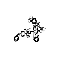 CC(C)CN(C[C@@H](O)[C@H](Cc1ccccc1)NC(=O)[C@H](C)CS(=O)(=O)N1CCN(Cc2ccncc2)CC1)S(=O)(=O)c1ccc2c(c1)OCO2